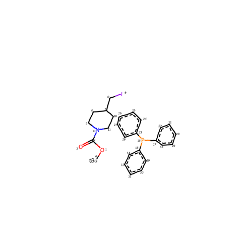 CC(C)(C)OC(=O)N1CCC(CI)CC1.c1ccc(P(c2ccccc2)c2ccccc2)cc1